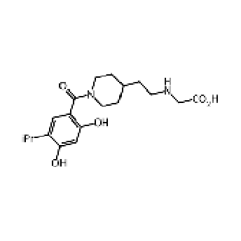 CC(C)c1cc(C(=O)N2CCC(CCNCC(=O)O)CC2)c(O)cc1O